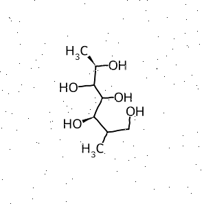 CC(CO)[C@@H](O)C(O)C(O)[C@@H](C)O